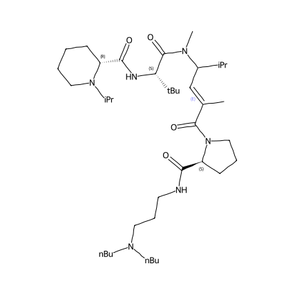 CCCCN(CCCC)CCCNC(=O)[C@@H]1CCCN1C(=O)/C(C)=C/C(C(C)C)N(C)C(=O)[C@@H](NC(=O)[C@H]1CCCCN1C(C)C)C(C)(C)C